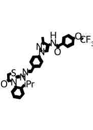 Cc1nn(-c2ccc(/C=N/N=C3\SCC(=O)N3c3ccccc3C(C)C)cc2)cc1NC(=O)c1ccc(OC(F)(F)F)cc1